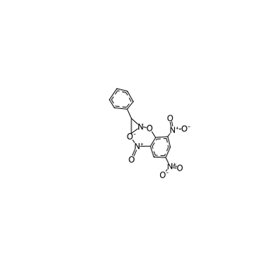 O=[N+]([O-])c1cc([N+](=O)[O-])c(ON2CC2c2ccccc2)c([N+](=O)[O-])c1